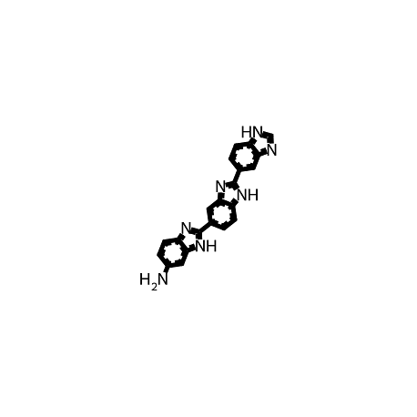 Nc1ccc2nc(-c3ccc4[nH]c(-c5ccc6[nH]cnc6c5)nc4c3)[nH]c2c1